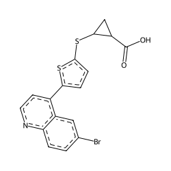 O=C(O)C1CC1Sc1ccc(-c2ccnc3ccc(Br)cc23)s1